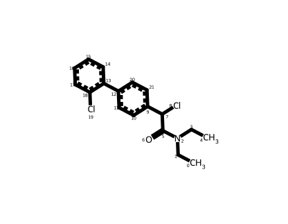 CCN(CC)C(=O)C(Cl)c1ccc(-c2ccccc2Cl)cc1